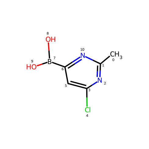 Cc1nc(Cl)cc(B(O)O)n1